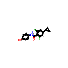 O=C(Nc1ccc(O)cc1)c1c(F)cc(C2CC2)cc1F